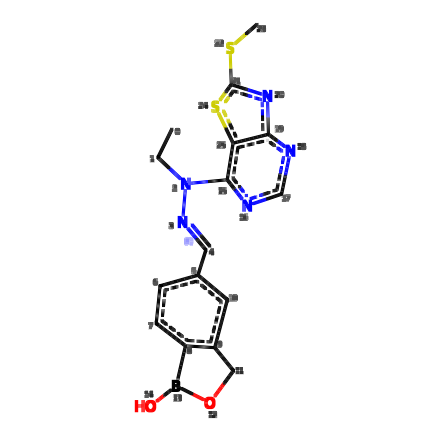 CCN(/N=C/c1ccc2c(c1)COB2O)c1ncnc2nc(SC)sc12